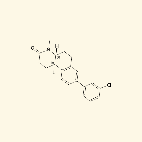 CN1C(=O)CC[C@]2(C)c3ccc(-c4cccc(Cl)c4)cc3CC[C@@H]12